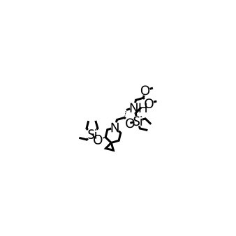 CC[Si](CC)(CC)O[C@@H](CNCC(OC)OC)CN1CCC2(CC2)[C@H](O[Si](CC)(CC)CC)C1